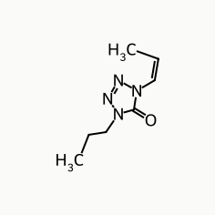 C/C=C\n1nnn(CCC)c1=O